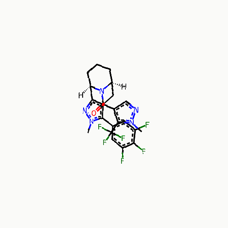 Cn1nc2c(c1-c1cc(F)c(F)c(F)c1)C[C@@H]1CCC[C@H]2N1C(=O)c1cnn(C)c1C(F)(F)F